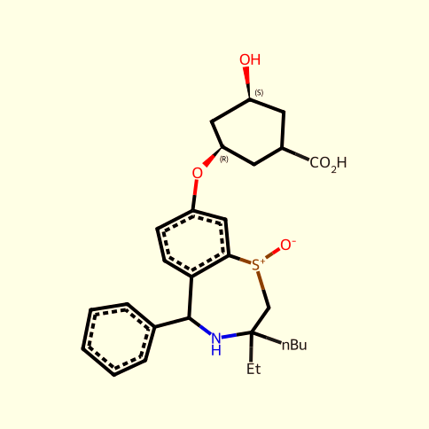 CCCCC1(CC)C[S+]([O-])c2cc(O[C@@H]3CC(C(=O)O)C[C@H](O)C3)ccc2C(c2ccccc2)N1